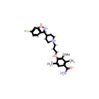 COc1c(C)c(C(N)=O)cc(C)c1OCCCN1CCC(c2noc3cc(F)ccc23)CC1